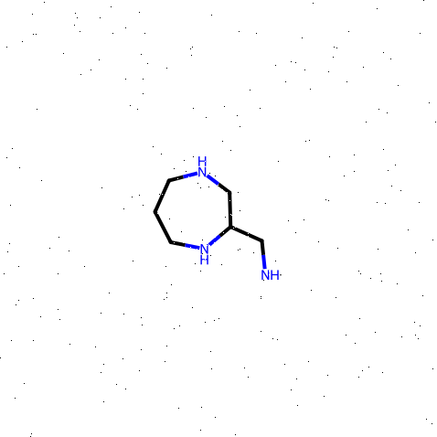 [NH]CC1CNCCCN1